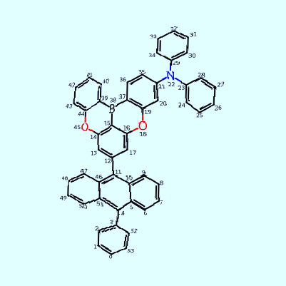 c1ccc(-c2c3ccccc3c(-c3cc4c5c(c3)Oc3cc(N(c6ccccc6)c6ccccc6)ccc3B5c3ccccc3O4)c3ccccc23)cc1